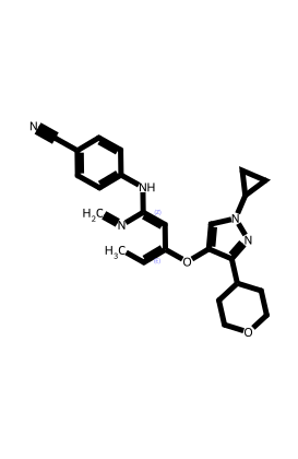 C=N/C(=C\C(=C/C)Oc1cn(C2CC2)nc1C1CCOCC1)Nc1ccc(C#N)cc1